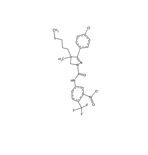 CSCCCC1(C)CN(C(=O)Nc2ccc(C(F)(F)F)c([N+](=O)[O-])c2)N=C1c1ccc(Cl)cc1